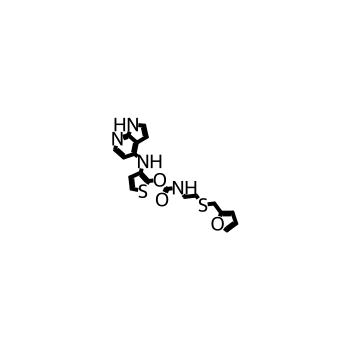 O=C(NCCSCc1ccco1)Oc1sccc1Nc1ccnc2[nH]ccc12